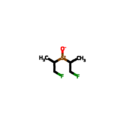 CC(CF)[S+]([O-])C(C)CF